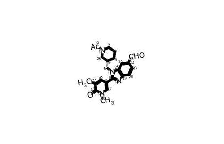 CC(=O)N1CCC[C@H](Cn2c(-c3cc(C)c(=O)n(C)c3)nc3ccc(C=O)cc32)C1